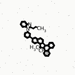 CCCc1nc2ccccc2n1-c1cccc(-c2ccc3c4c(ccc3c2)-c2c(c3ccccc3c3ccccc23)C4(C)C)c1